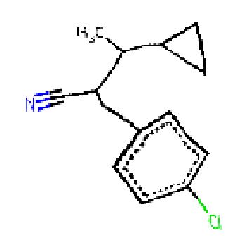 CC(C1CC1)C(C#N)c1ccc(Cl)cc1